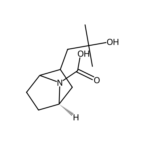 CC(C)(O)CC1C[C@H]2CCC1N2C(=O)O